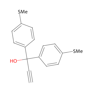 C#CC(O)(c1ccc(SC)cc1)c1ccc(SC)cc1